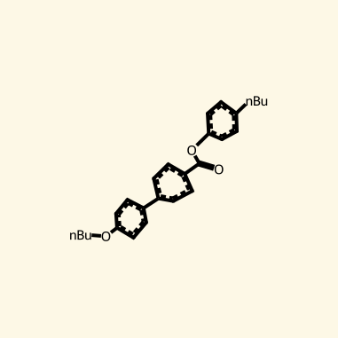 CCCCOc1ccc(-c2ccc(C(=O)Oc3ccc(CCCC)cc3)cc2)cc1